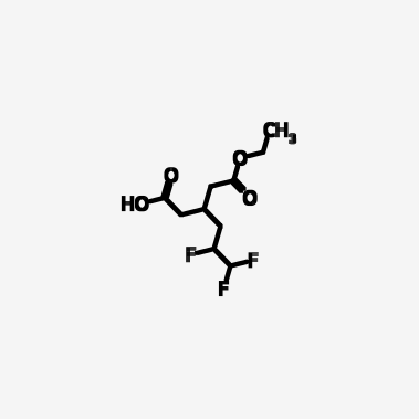 CCOC(=O)CC(CC(=O)O)CC(F)C(F)F